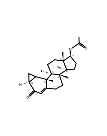 CC(=O)O[C@H]1CC[C@H]2[C@@H]3CCC4=CC(=O)[C@H]5CC5[C@]4(C)[C@H]3CC[C@]12C